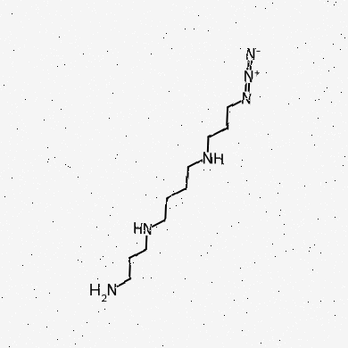 [N-]=[N+]=NCCCNCCCCNCCCN